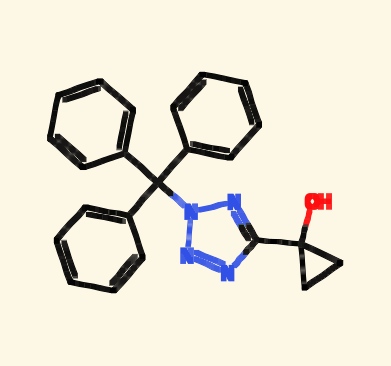 OC1(c2nnn(C(c3ccccc3)(c3ccccc3)c3ccccc3)n2)CC1